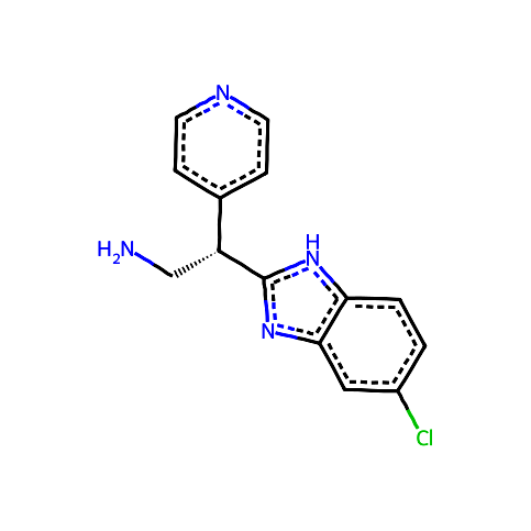 NC[C@H](c1ccncc1)c1nc2cc(Cl)ccc2[nH]1